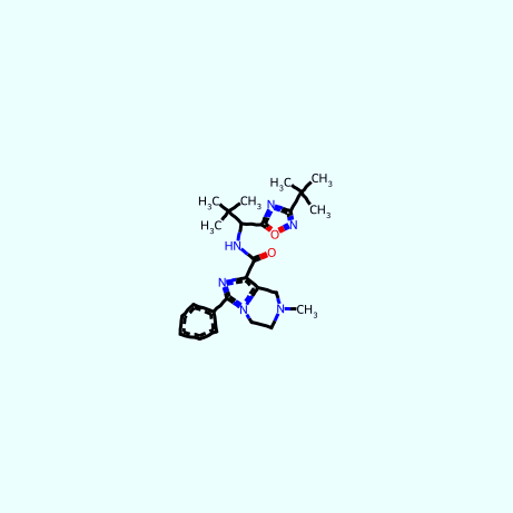 CN1CCn2c(-c3ccccc3)nc(C(=O)NC(c3nc(C(C)(C)C)no3)C(C)(C)C)c2C1